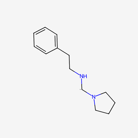 [CH](NCCc1ccccc1)N1CCCC1